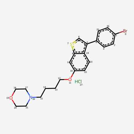 Brc1ccc(-c2csc3cc(OCCCCN4CCOCC4)ccc23)cc1.Cl